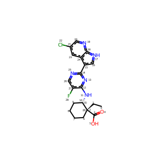 CC[C@@]1(C(=O)O)CCCC[C@@H]1Nc1nc(-c2c[nH]c3ncc(Cl)cc23)ncc1F